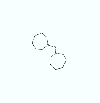 C1CCCN(ON2CCCCCC2)CC1